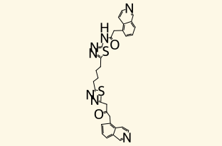 O=C(Cc1nnc(CCCCc2nnc(NC(=O)Cc3cccc4cnccc34)s2)s1)Cc1cccc2cnccc12